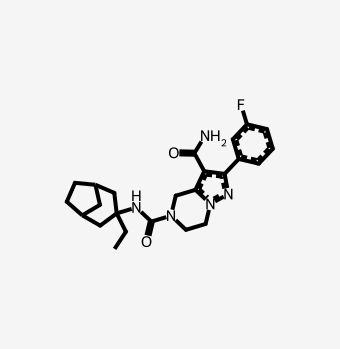 CCC1(NC(=O)N2CCn3nc(-c4cccc(F)c4)c(C(N)=O)c3C2)CC2CCC(C2)C1